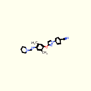 Cc1cc(Oc2ccn(-c3ccc(C#N)cc3)n2)c(C)cc1/N=C/N1CCCCC1